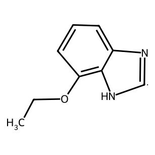 CCOc1cccc2n[c][nH]c12